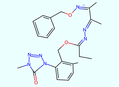 CCC(=NN=C(C)/C(C)=N\OCc1ccccc1)OCc1c(C)cccc1-n1nnn(C)c1=O